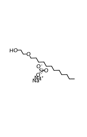 CCCCCCCCCCCCOCCO.O=[Si]([O-])[O-].[Na+].[Na+]